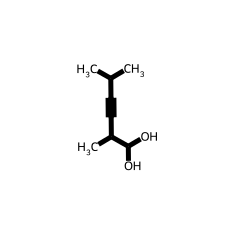 CC(C)C#CC(C)C(O)O